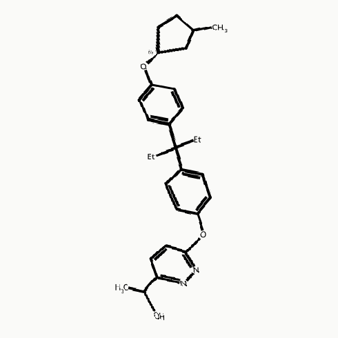 CCC(CC)(c1ccc(Oc2ccc(C(C)O)nn2)cc1)c1ccc(O[C@H]2CCC(C)C2)cc1